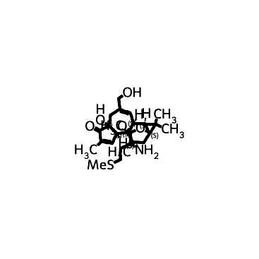 CSCC[C@H](N)C(=O)O[C@@]12C[C@@H](C)[C@@]3(C)[C@@H](C=C(CO)C[C@]4(O)C(=O)C(C)=C[C@@H]34)[C@H]1C2(C)C